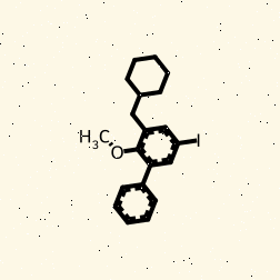 COc1c(CC2CCCCC2)cc(I)cc1-c1ccccc1